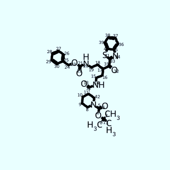 CC(C)(C)OC(=O)N1CCC[C@H](C(=O)NCCC(CCNC(=O)OCc2ccccc2)C(=O)c2nc3ccccc3s2)C1